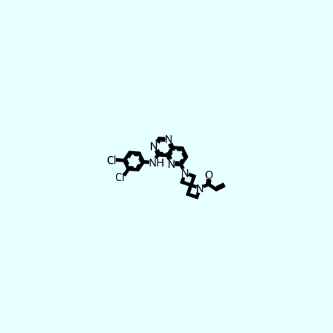 C=CC(=O)N1CCC12CN(c1ccc3ncnc(Nc4ccc(Cl)c(Cl)c4)c3n1)C2